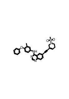 Cc1cc(Nc2ncnc3ccc(C#CC4=CCCN(S(C)(=O)=O)C4)cc23)ccc1Oc1ccccc1